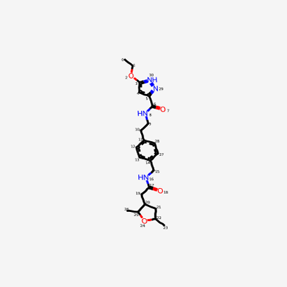 CCOc1cc(C(=O)NCCc2ccc(CNC(=O)CC3CC(C)OC3C)cc2)n[nH]1